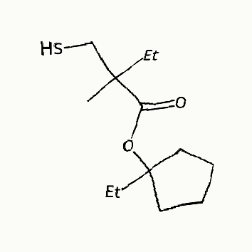 CCC1(OC(=O)C(C)(CC)CS)CCCC1